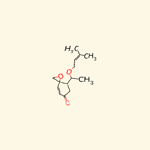 CC(C)=CCOC(C)C1CC(=O)C=CC12CO2